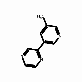 Cc1cncc(-c2cnccn2)c1